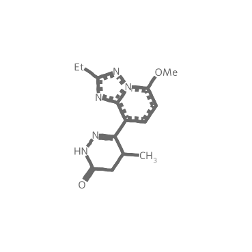 CCc1nc2c(C3=NNC(=O)CC3C)ccc(OC)n2n1